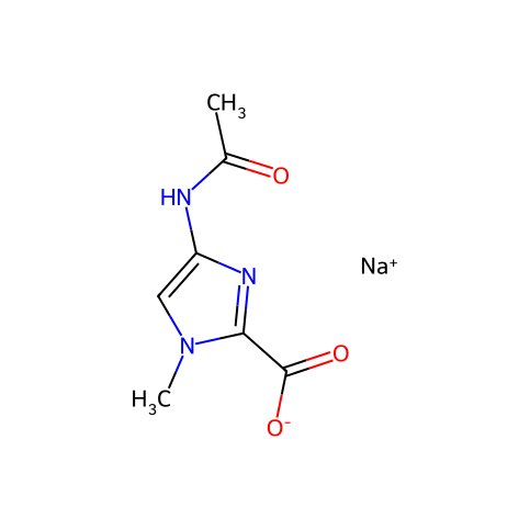 CC(=O)Nc1cn(C)c(C(=O)[O-])n1.[Na+]